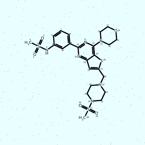 CS(=O)(=O)Nc1cccc(-c2nc(N3CCOCC3)c3sc(CN4CCN(S(C)(=O)=O)CC4)cc3n2)c1